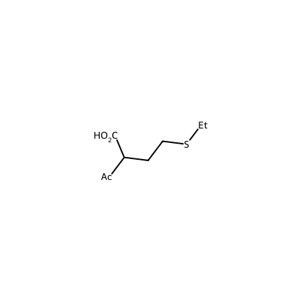 CCSCCC(C(C)=O)C(=O)O